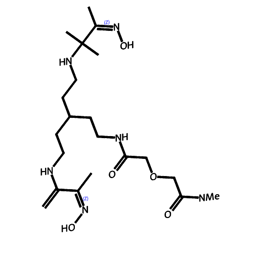 C=C(NCCC(CCNC(=O)COCC(=O)NC)CCNC(C)(C)/C(C)=N\O)/C(C)=N\O